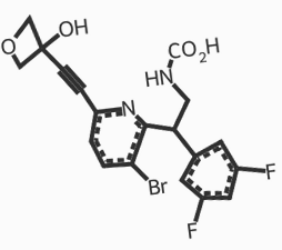 O=C(O)NCC(c1cc(F)cc(F)c1)c1nc(C#CC2(O)COC2)ccc1Br